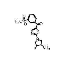 CC1CN(c2ncc(C(=O)c3cccc(S(C)(=O)=O)c3)s2)CC1F